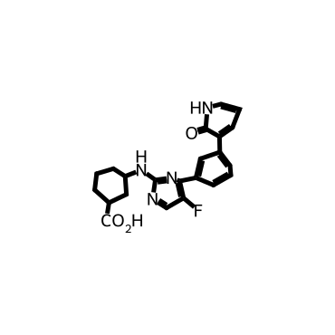 O=C(O)C1CCCC(Nc2ncc(F)c(-c3cccc(-c4ccc[nH]c4=O)c3)n2)C1